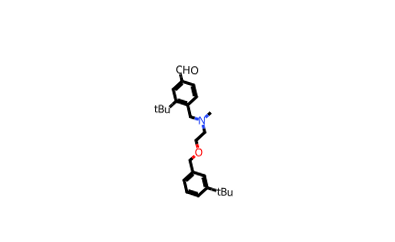 CN(CCOCc1cccc(C(C)(C)C)c1)Cc1ccc(C=O)cc1C(C)(C)C